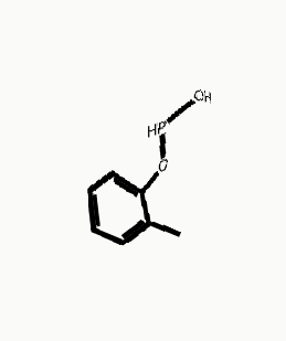 Cc1ccccc1OPO